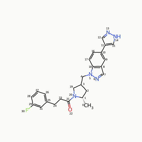 C[C@H]1CC(Cn2ncc3cc(-c4cn[nH]c4)ccc32)CN1C(=O)CCc1cccc(F)c1